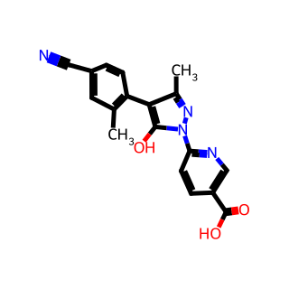 Cc1cc(C#N)ccc1-c1c(C)nn(-c2ccc(C(=O)O)cn2)c1O